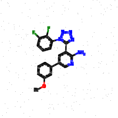 CCOc1cccc(-c2cnc(N)c(-c3nnnn3-c3cccc(F)c3F)c2)c1